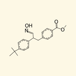 COC(=O)c1ccc(CC(/C=N/O)c2ccc(C(C)(C)C)cc2)cc1